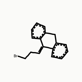 BrCCC=C1c2ccccc2Cc2ccccc21